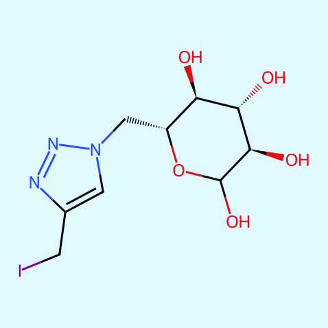 OC1O[C@H](Cn2cc(CI)nn2)[C@@H](O)[C@H](O)[C@H]1O